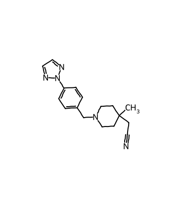 CC1(CC#N)CCN(Cc2ccc(-n3nccn3)cc2)CC1